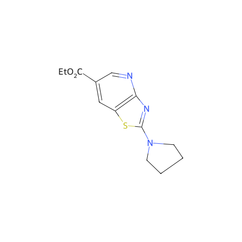 CCOC(=O)c1cnc2nc(N3CCCC3)sc2c1